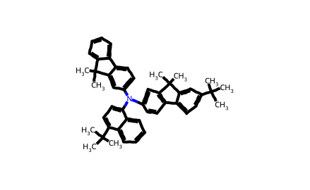 CC(C)(C)c1ccc2c(c1)C(C)(C)c1cc(N(c3ccc4c(c3)C(C)(C)c3ccccc3-4)c3ccc(C(C)(C)C)c4ccccc34)ccc1-2